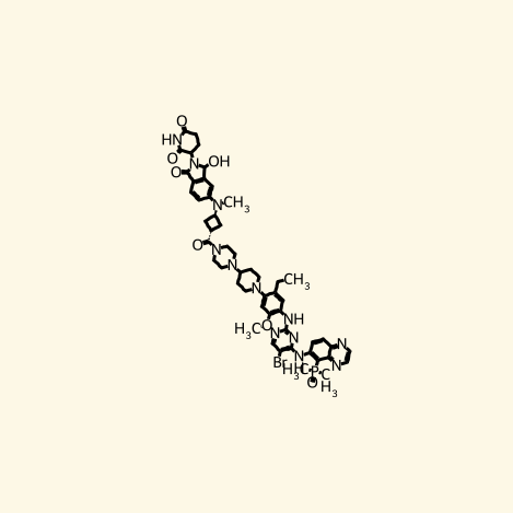 CCc1cc(Nc2ncc(Br)c(Nc3ccc4nccnc4c3P(C)(C)=O)n2)c(OC)cc1N1CCC(N2CCN(C(=O)[C@H]3C[C@H](N(C)c4ccc5c(c4)C(O)N(C4CCC(=O)NC4=O)C5=O)C3)CC2)CC1